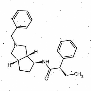 CC[C@@H](C(=O)N[C@H]1CC[C@@H]2CN(Cc3ccccc3)C[C@@H]21)c1ccccc1